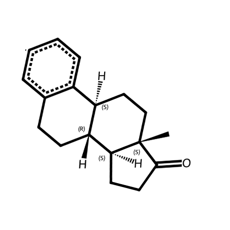 C[C@]12CC[C@@H]3c4cc[c]cc4CC[C@H]3[C@@H]1CCC2=O